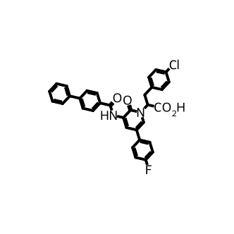 O=C(Nc1cc(-c2ccc(F)cc2)cn(C(Cc2ccc(Cl)cc2)C(=O)O)c1=O)c1ccc(-c2ccccc2)cc1